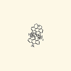 CN(C)c1c2cccc(N)c2c(C2C(O)C(c3c4c(O)ccc5c4c4c6c(ccc(O)c36)CCN4CC5)C2O)c2c(N)cccc12